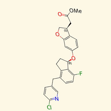 COC(=O)C[C@@H]1COc2cc(O[C@@H]3CCc4c(Cc5ccc(Cl)nc5)ccc(F)c43)ccc21